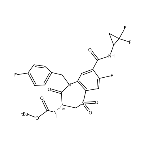 CC(C)(C)OC(=O)N[C@H]1CS(=O)(=O)c2cc(F)c(C(=O)NC3CC3(F)F)cc2N(Cc2ccc(F)cc2)C1=O